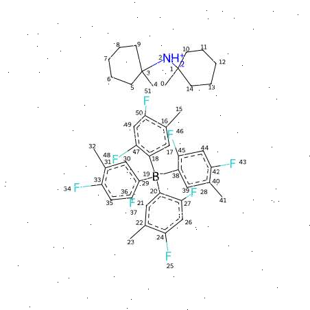 CC1([NH2+]C2(C)CCCCC2)CCCCC1.Cc1cc([B-](c2cc(C)c(F)cc2F)(c2cc(C)c(F)cc2F)c2cc(C)c(F)cc2F)c(F)cc1F